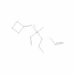 C=CC[C@H](CC)C(C)(CC)NC1CCC1